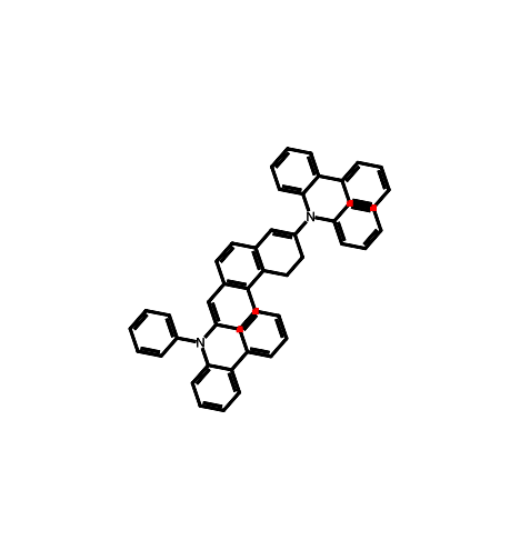 C1=C(N(c2ccccc2)c2ccccc2-c2ccccc2)CCc2c1ccc1c2CCC(N(c2ccccc2)c2ccccc2-c2ccccc2)=C1